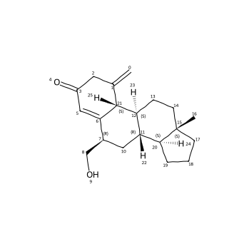 C=C1CC(=O)C=C2[C@H](CO)C[C@@H]3[C@H](CC[C@]4(C)CCC[C@@H]34)[C@@H]12